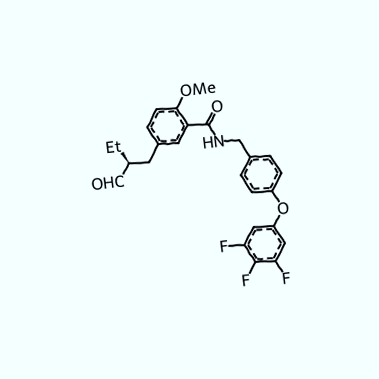 CC[C@H](C=O)Cc1ccc(OC)c(C(=O)NCc2ccc(Oc3cc(F)c(F)c(F)c3)cc2)c1